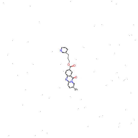 CC(C)c1ccc2nc3ccc(C(=O)OCCCc4cccnc4)cc3c(=O)n2c1